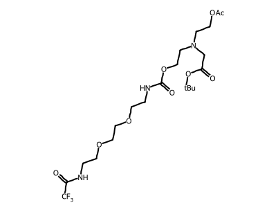 CC(=O)OCCN(CCOC(=O)NCCOCCOCCNC(=O)C(F)(F)F)CC(=O)OC(C)(C)C